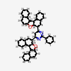 c1ccc(-c2nc(-c3cc4ccccc4c4c3oc3ccc5ccccc5c34)cc(-c3cc4ccccc4c4c3oc3ccc5ccccc5c34)n2)cc1